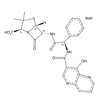 CC1(C)S[C@@H]2[C@H](NC(=O)[C@H](NC(=O)c3cnc4cccnc4c3O)c3ccccc3)C(=O)N2[C@H]1C(=O)O.[NaH]